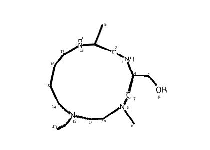 CC1CNC(CO)CN(C)CCN(C)CCCCN1